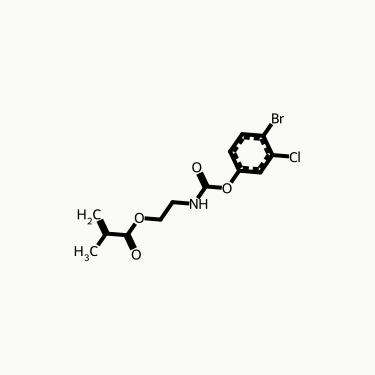 C=C(C)C(=O)OCCNC(=O)Oc1ccc(Br)c(Cl)c1